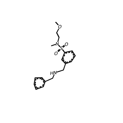 COCCN(C)S(=O)(=O)c1cccc(CNCc2ccccc2)c1